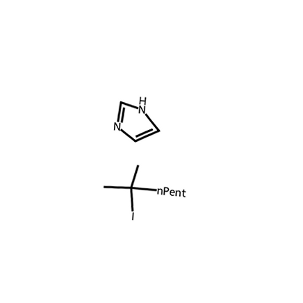 CCCCCC(C)(C)I.c1c[nH]cn1